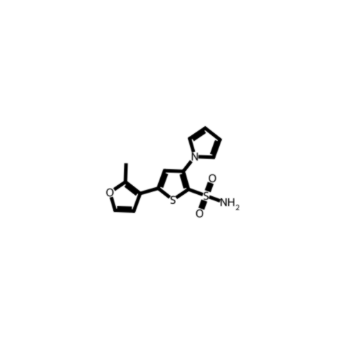 Cc1occc1-c1cc(-n2cccc2)c(S(N)(=O)=O)s1